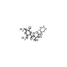 N=C(NC(=O)OC1CCCCC1)NC(=O)c1nc(Cl)c(N)nc1N